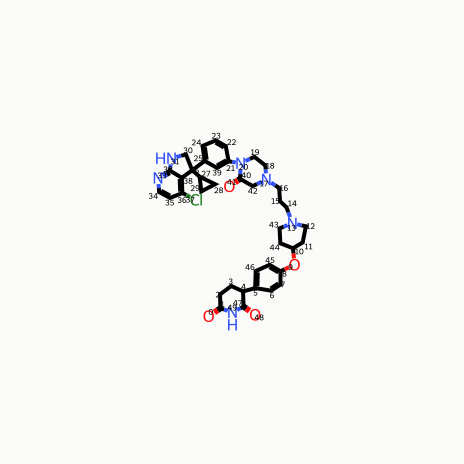 O=C1CCC(c2ccc(OC3CCN(CCCN4CCN(c5cccc(C6(C7CC7)CNc7nccc(Cl)c76)c5)C(=O)C4)CC3)cc2)C(=O)N1